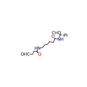 CC(C)[C@@H](C=O)NC(=O)CCCCCNC(=O)CCC=O